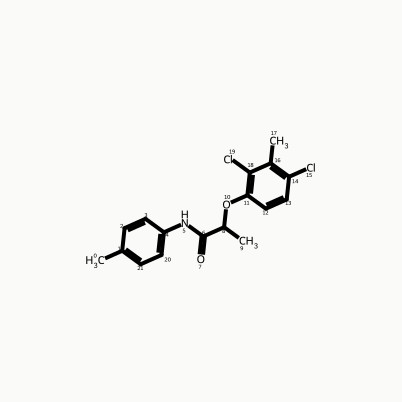 Cc1ccc(NC(=O)C(C)Oc2ccc(Cl)c(C)c2Cl)cc1